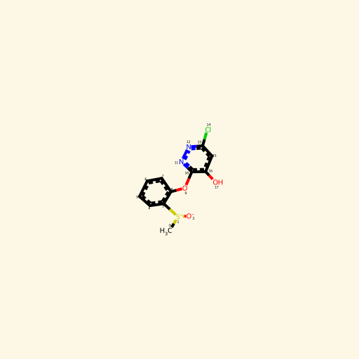 C[S+]([O-])c1ccccc1Oc1nnc(Cl)cc1O